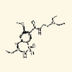 CCC1=Nc2cc(OC)c(C(=O)NCCN(CC)CC)cc2S(=O)(=O)N1